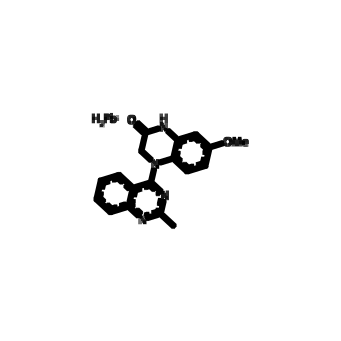 COc1ccc2c(c1)NC(=O)CN2c1nc(C)nc2ccccc12.[PbH2]